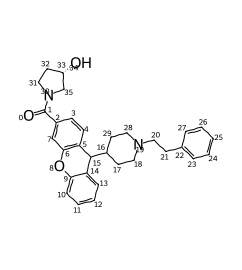 O=C(c1ccc2c(c1)Oc1ccccc1C2C1CCN(CCc2ccccc2)CC1)N1CC[C@H](O)C1